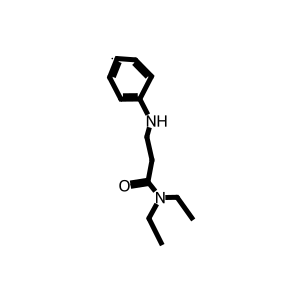 CCN(CC)C(=O)CCNc1cc[c]cc1